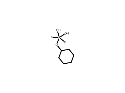 OP(O)(F)(F)OC1CCCCC1